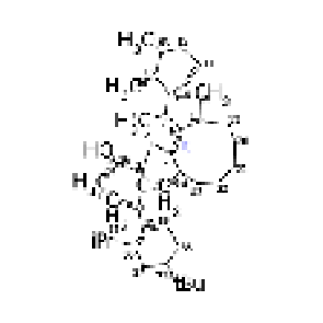 C=C(CC(C/C1=C(\C(C)C2C=CCC(C)C2C)C(C)CCCCCC1C)C(C)O)C1=C(C(C)C)CC(C(C)(C)C)CC1